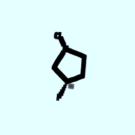 F[C@H]1CCN(Cl)C1